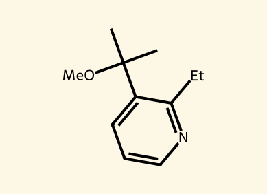 CCc1ncccc1C(C)(C)OC